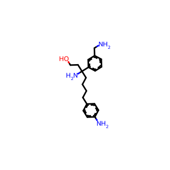 NCc1cccc(C(N)(CCO)CCCCc2ccc(N)cc2)c1